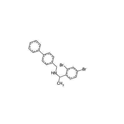 CC(NCc1ccc(-c2ccccc2)cc1)c1ccc(Br)cc1Br